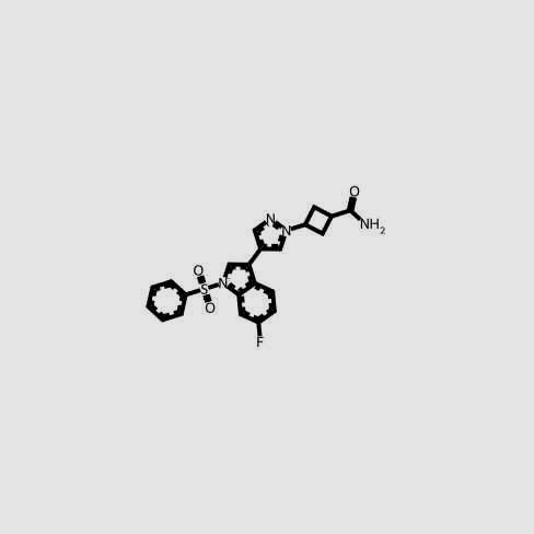 NC(=O)C1CC(n2cc(-c3cn(S(=O)(=O)c4ccccc4)c4cc(F)ccc34)cn2)C1